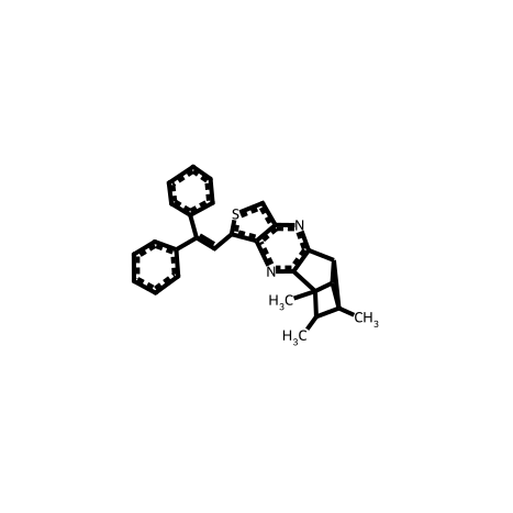 CC1C2(C)c3nc4c(C=C(c5ccccc5)c5ccccc5)scc4nc3C3C2C31C